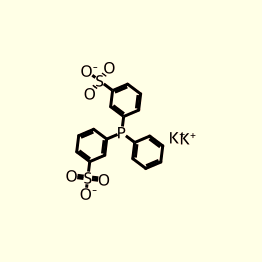 O=S(=O)([O-])c1cccc(P(c2ccccc2)c2cccc(S(=O)(=O)[O-])c2)c1.[K+].[K+]